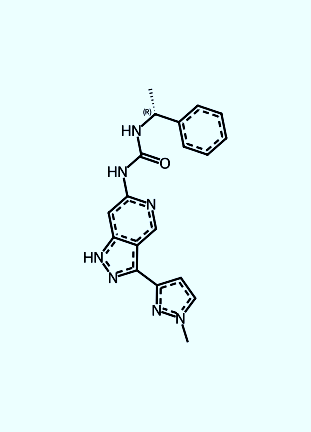 C[C@@H](NC(=O)Nc1cc2[nH]nc(-c3ccn(C)n3)c2cn1)c1ccccc1